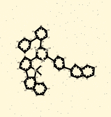 C[Si]1(C)c2c(-c3nc(-c4ccc(-c5ccc6ccccc6c5)cc4)nc(-c4ccccc4-c4ccccc4)n3)cccc2-c2ccc3ccccc3c21